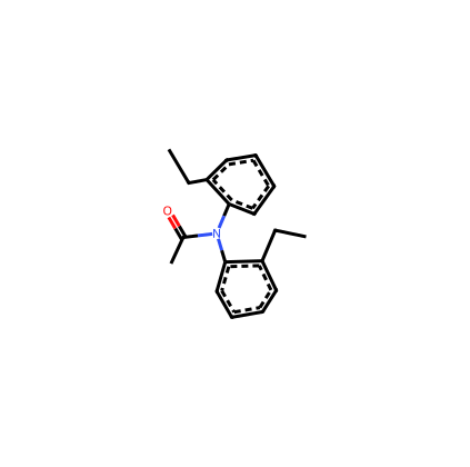 CCc1ccccc1N(C(C)=O)c1ccccc1CC